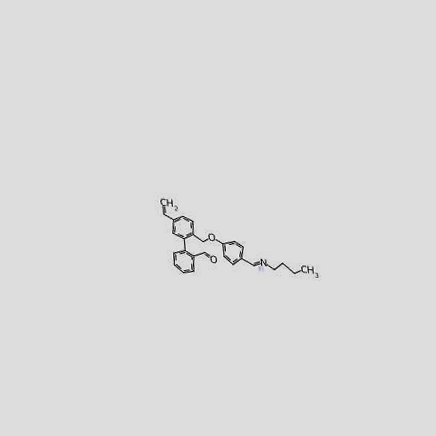 C=Cc1ccc(COc2ccc(/C=N/CCCC)cc2)c(-c2ccccc2C=O)c1